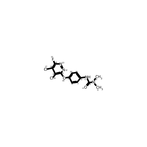 CN(C)C(=O)Nc1ccc(Oc2nnc(F)c(Cl)c2Cl)cc1